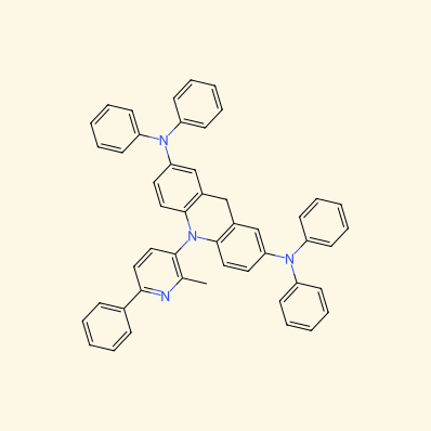 Cc1nc(-c2ccccc2)ccc1N1c2ccc(N(c3ccccc3)c3ccccc3)cc2Cc2cc(N(c3ccccc3)c3ccccc3)ccc21